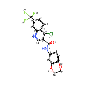 O=C(Nc1ccc2c(c1)OCCO2)c1cnc2cc(C(F)(F)F)ccc2c1Cl